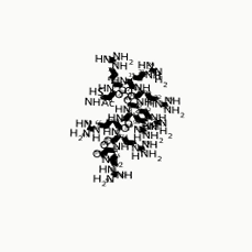 CC(=O)N[C@H](CS)C(=O)N[C@H](CCCNC(=N)N)C(=O)N[C@H](CCCNC(=N)N)C(=O)N[C@H](CCCNC(=N)N)C(=O)N[C@H](CCCNC(=N)N)C(=O)N[C@H](CCCNC(=N)N)C(=O)N[C@H](CCCNC(=N)N)C(=O)N[C@H](CCCNC(=N)N)C(=O)N[C@H](CCCNC(=N)N)C(=O)C(N)=O